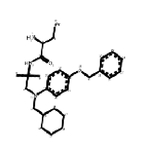 CC(C)CC(N)C(=O)NC(C)(C)CN(CC1CCCCC1)c1ccc(OCc2ccccc2)cc1